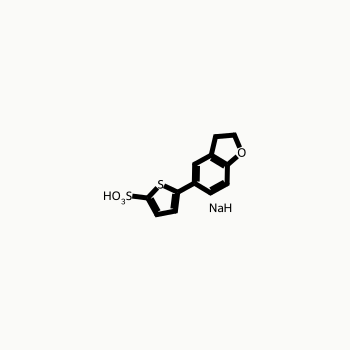 O=S(=O)(O)c1ccc(-c2ccc3c(c2)CCO3)s1.[NaH]